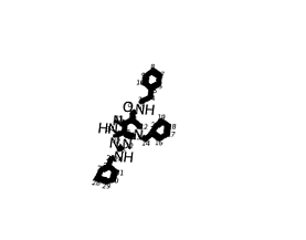 O=C(NCCc1ccccc1)C1CN(Cc2ccccc2)c2nc(NCc3ccccc3)nc3[nH]nc1c23